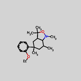 CCOc1ccccc1C1(C)CC(C)C2C(C1)C(C)(C)ON2C